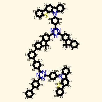 CC1(C)c2ccccc2-c2ccc(-c3nc(-c4ccc(-n5c6ccccc6c6ccc7c8ccccc8sc7c65)cc4)nc(-c4ccc5c(c4)C(C)(C)c4cc(-c6cccc(-c7ccc(-c8nc(-c9ccc(-c%10ccccc%10)cc9)nc(-c9ccc(-n%10c%11ccccc%11c%11ccc%12c%13ccccc%13sc%12c%11%10)cc9)n8)cc7)c6)ccc4-5)n3)cc21